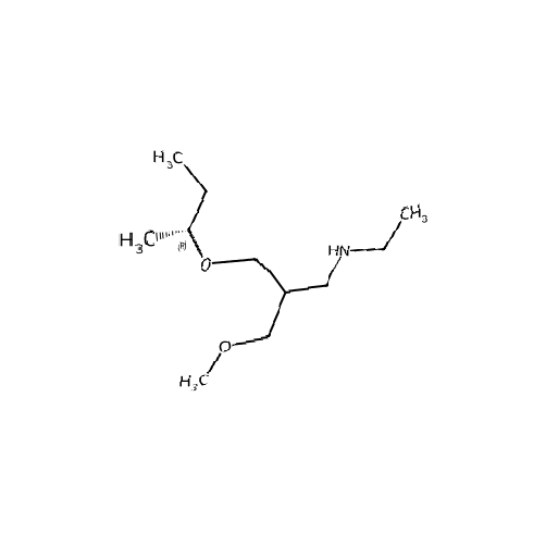 CCNCC(COC)CO[C@H](C)CC